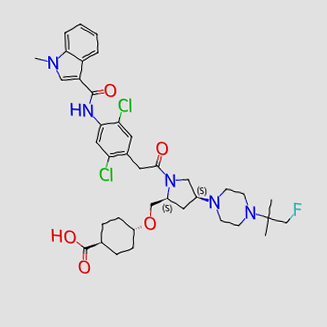 Cn1cc(C(=O)Nc2cc(Cl)c(CC(=O)N3C[C@@H](N4CCN(C(C)(C)CF)CC4)C[C@H]3CO[C@H]3CC[C@H](C(=O)O)CC3)cc2Cl)c2ccccc21